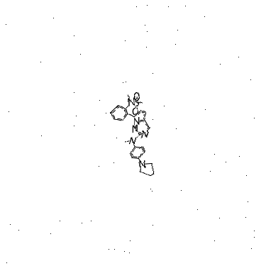 CN(c1ccc(N2CCCC2)cc1)c1ncc2ccc(-c3ccccc3N(C)S(C)(=O)=O)n2n1